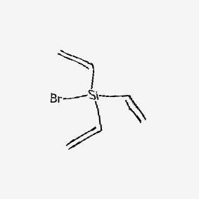 C=C[Si](Br)(C=C)C=C